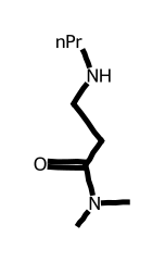 CCCNCCC(=O)N(C)C